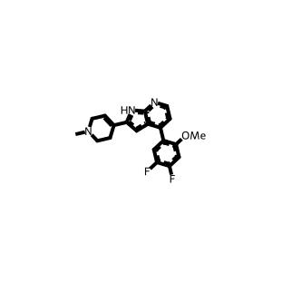 COc1cc(F)c(F)cc1-c1ccnc2[nH]c(C3=CCN(C)CC3)cc12